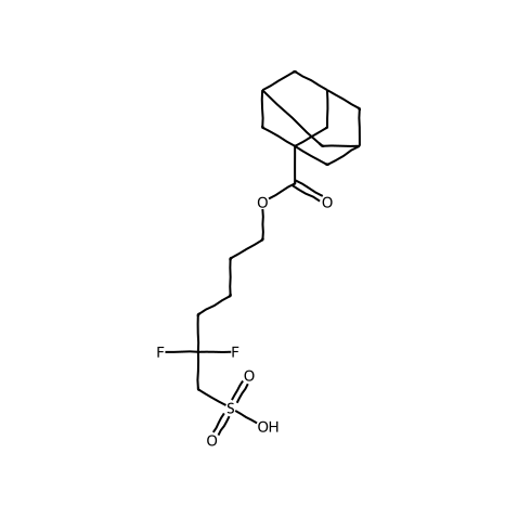 O=C(OCCCCC(F)(F)CS(=O)(=O)O)C12CC3CC(CC(C3)C1)C2